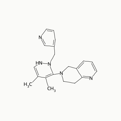 CC1=CNN(Cc2cccnc2)C(N2CCc3ncccc3C2)=C1C